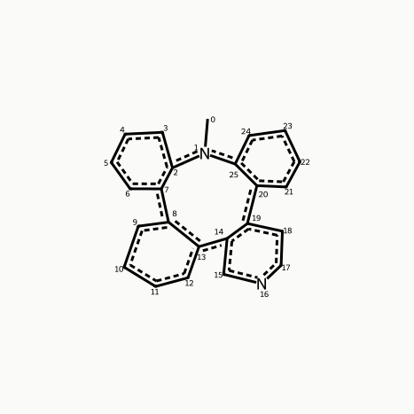 Cn1c2ccccc2c2ccccc2c2cnccc2c2ccccc21